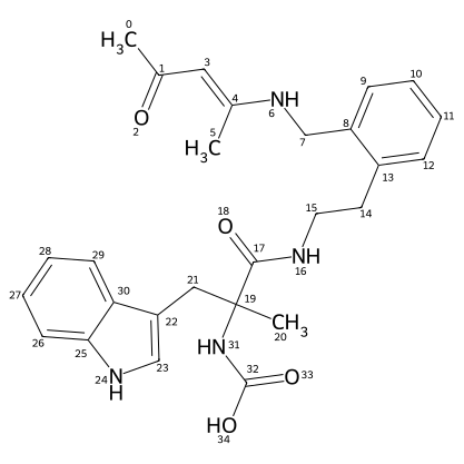 CC(=O)/C=C(\C)NCc1ccccc1CCNC(=O)C(C)(Cc1c[nH]c2ccccc12)NC(=O)O